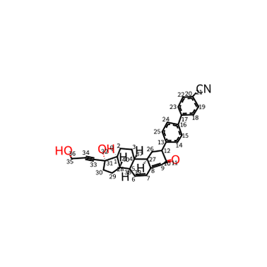 C[C@]12CC[C@H]3[C@@H](C=CC4=CC(=O)C(c5ccc(-c6ccc(C#N)cc6)cc5)C[C@@H]43)[C@@H]1CC[C@@]2(O)C#CCO